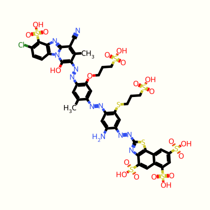 Cc1cc(N=Nc2c(C)c(C#N)c3nc4c(S(=O)(=O)O)c(Cl)ccc4n3c2O)c(OCCCS(=O)(=O)O)cc1N=Nc1cc(N)c(N=Nc2nc3c(S(=O)(=O)O)cc4c(S(=O)(=O)O)cc(S(=O)(=O)O)cc4c3s2)cc1SCCCS(=O)(=O)O